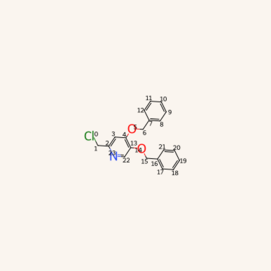 ClCc1cc(OCc2ccccc2)c(OCc2ccccc2)cn1